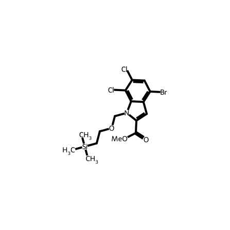 COC(=O)c1cc2c(Br)cc(Cl)c(Cl)c2n1COCC[Si](C)(C)C